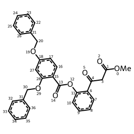 COC(=O)CC(=O)c1ccccc1OC(=O)c1ccc(OCc2ccccc2)cc1OCc1ccccc1